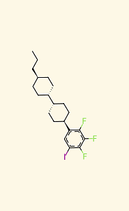 CCC[C@H]1CC[C@H]([C@H]2CC[C@H](c3cc(I)c(F)c(F)c3F)CC2)CC1